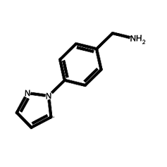 NCc1ccc(-n2[c]ccn2)cc1